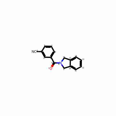 N#Cc1cccc(C(=O)N2Cc3ccccc3C2)c1